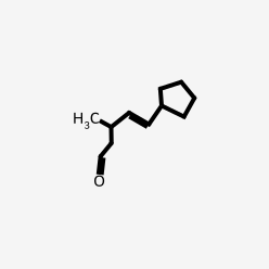 CC(/C=C/C1CCCC1)CC=O